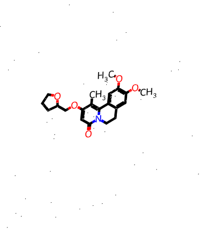 COc1cc2c(cc1OC)-c1c(C)c(OCC3CCCO3)cc(=O)n1CC2